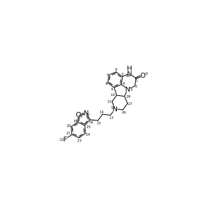 O=C1CN2c3c(cccc3C3CN(CCCc4noc5cc(F)ccc45)CCC32)N1